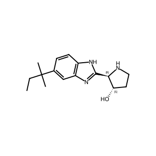 CCC(C)(C)c1ccc2[nH]c([C@H]3NCC[C@@H]3O)nc2c1